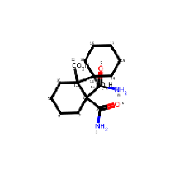 NC(=O)C1(C(N)=O)CCCCC1(C(=O)O)C1(C(=O)O)CCCCC1